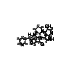 Cc1cnc2[nH]cc(NC(=O)c3cnn(Cc4cccnc4)c3)c2c1N1CCC[C@@H](N)C1